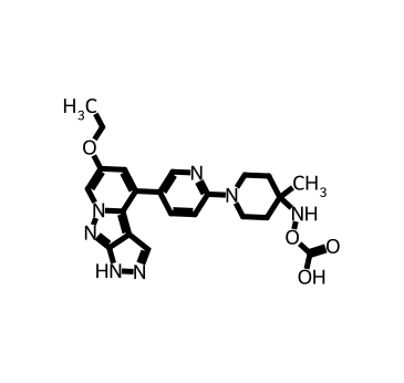 CCOc1cc(-c2ccc(N3CCC(C)(NOC(=O)O)CC3)nc2)c2c3cn[nH]c3nn2c1